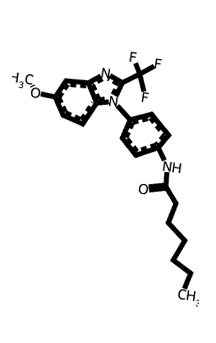 CCCCCCC(=O)Nc1ccc(-n2c(C(F)(F)F)nc3cc(OC)ccc32)cc1